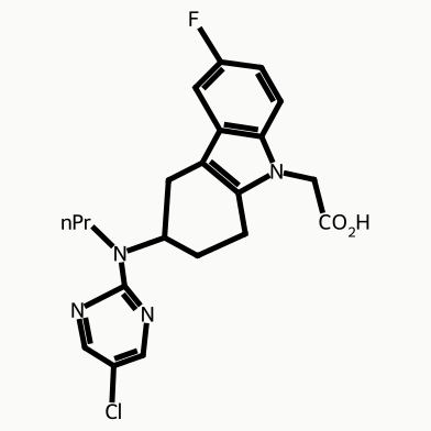 CCCN(c1ncc(Cl)cn1)C1CCc2c(c3cc(F)ccc3n2CC(=O)O)C1